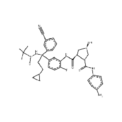 CC(C)(C)[S+]([O-])NC(CCC1CC1)(c1cccc(C#N)c1)c1ccc(F)c(NC(=O)[C@H]2C[C@@H](O)CN2C(=O)Nc2ccc(N)cc2)c1